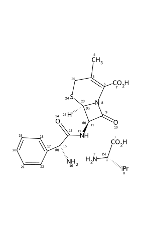 CC(C)[C@H](N)C(=O)O.CC1=C(C(=O)O)N2C(=O)[C@@H](NC(=O)[C@H](N)c3ccccc3)[C@H]2SC1